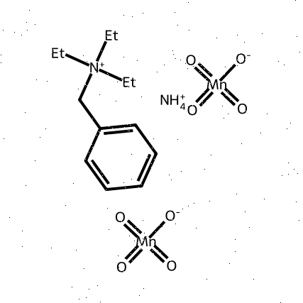 CC[N+](CC)(CC)Cc1ccccc1.[NH4+].[O]=[Mn](=[O])(=[O])[O-].[O]=[Mn](=[O])(=[O])[O-]